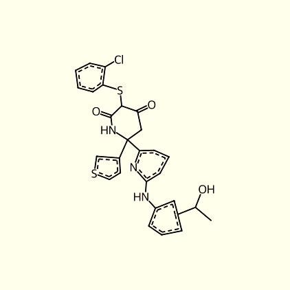 CC(O)c1cccc(Nc2cccc(C3(c4ccsc4)CC(=O)C(Sc4ccccc4Cl)C(=O)N3)n2)c1